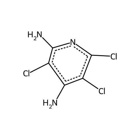 Nc1nc(Cl)c(Cl)c(N)c1Cl